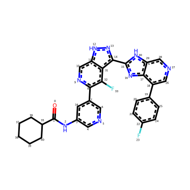 O=C(Nc1cncc(-c2ncc3[nH]nc(-c4nc5c(-c6ccc(F)cc6)cncc5[nH]4)c3c2F)c1)C1CCCCC1